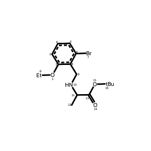 CCOc1cccc(Br)c1CNC(C)C(=O)OC(C)(C)C